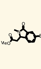 COC(=O)CC1c2ccc(Br)cc2C(=O)N1C